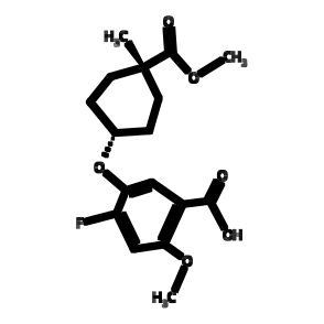 COc1cc(F)c(O[C@H]2CC[C@@](C)(C(=O)OC)CC2)cc1C(=O)O